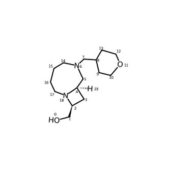 OC[C@@H]1C[C@@H]2CN(CC3CCOCC3)CCCCN12